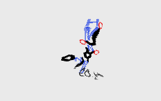 O=C1CCC(N2Cc3ccc(CN(C(=O)O)C4CN(c5ccccc5)C4)cc3C2=O)C(=O)N1